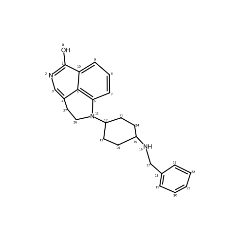 Oc1ncc2c3c(cccc13)N(C1CCC(NCc3ccccc3)CC1)CC2